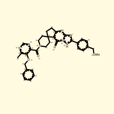 COCc1ccc(-c2nc3nc4c(c(=O)n3[nH]2)C2(CC4)CCN(C(=O)c3ncnc(C)c3OCc3ccccc3)CC2)cc1